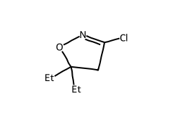 CCC1(CC)CC(Cl)=NO1